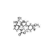 CCC(Nc1nccc(N2CCOC2=O)n1)c1ncc(-c2ccc(F)c(C)c2)cn1